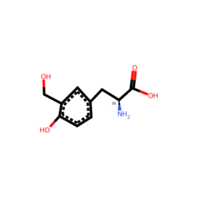 N[C@@H](Cc1ccc(O)c(CO)c1)C(=O)O